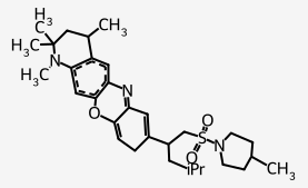 CC(C)CC(CS(=O)(=O)N1CCC(C)CC1)C1=CC2=Nc3cc4c(cc3OC2=CC1)N(C)C(C)(C)CC4C